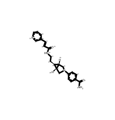 NC(=O)c1ccc(N2C[C@@H]3[C@@H](CCNC(=O)/C=C/c4cccnc4)[C@@H]3C2)cc1